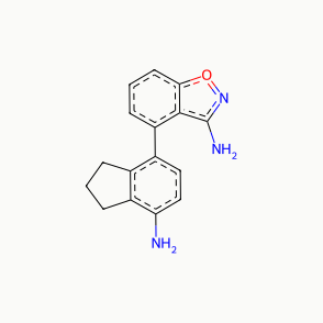 Nc1ccc(-c2cccc3onc(N)c23)c2c1CCC2